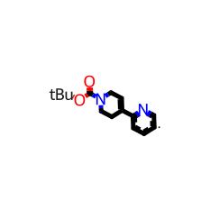 CC(C)(C)OC(=O)N1CC=C(c2cc[c]cn2)CC1